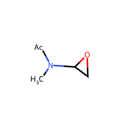 CC(=O)N(C)C1CO1